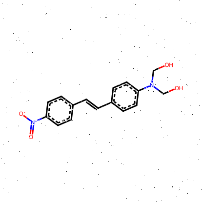 O=[N+]([O-])c1ccc(C=Cc2ccc(N(CO)CO)cc2)cc1